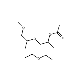 CCOCC.COCC(C)OCC(C)OC(C)=O